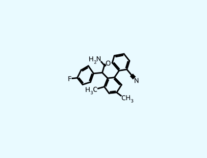 Cc1cc(C)c(C(C(N)=O)c2ccc(F)cc2)c(-c2ccccc2C#N)c1